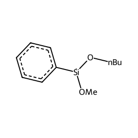 CCCCO[Si](OC)c1ccccc1